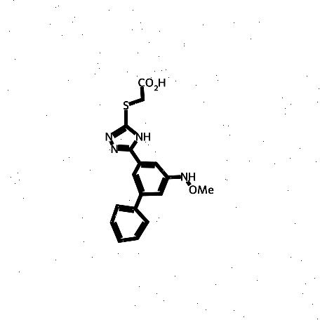 CONc1cc(-c2ccccc2)cc(-c2nnc(SCC(=O)O)[nH]2)c1